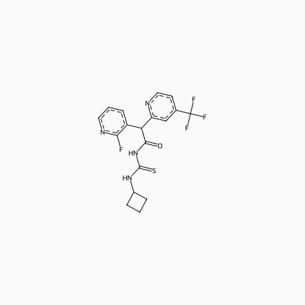 O=C(NC(=S)NC1CCC1)C(c1cc(C(F)(F)F)ccn1)c1cccnc1F